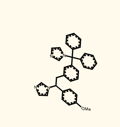 COc1ccc(C(Cc2cccc(C(c3ccccc3)(c3ccccc3)n3ccnc3)c2)n2ccnc2)cc1